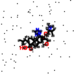 CC(C)[C@@H](C)[C@@]1(C)CC[C@]2(C)[C@H]3CC[C@@H]4[C@@]5(COC[C@]4(C)[C@@H](OC[C@@](C)(C(C)C)N(C)C)[C@H](n4ncnn4)C5)C3=CC[C@@]2(C)[C@@H]1C(=O)O